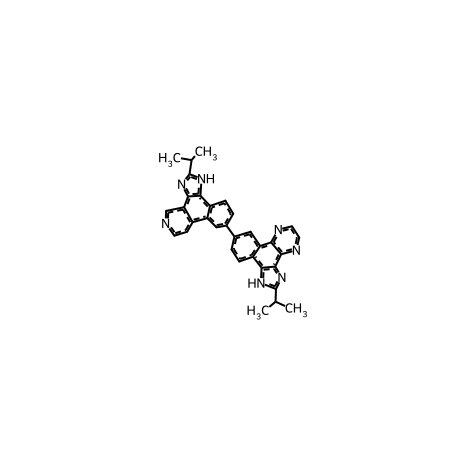 CC(C)c1nc2c3cnccc3c3cc(-c4ccc5c(c4)c4nccnc4c4nc(C(C)C)[nH]c54)ccc3c2[nH]1